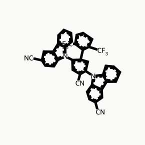 N#Cc1ccc2c(c1)c1ccccc1n2-c1cc(-c2c(C(F)(F)F)cccc2C(F)(F)F)c(-n2c3ccccc3c3cc(C#N)ccc32)cc1C#N